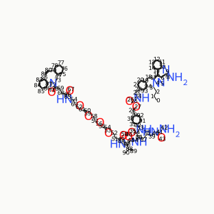 CCCCn1nc2c(N)nc3ccccc3c2c1Cc1ccc(CNC(=O)OCc2ccc(NC(=O)[C@H](CCCNC(N)=O)NC(=O)[C@@H](NC(=O)CCOCCOCCOCCOCCNC(=O)CCC(=O)N3Cc4ccccc4C#Cc4ccccc43)C(C)C)cc2)cc1